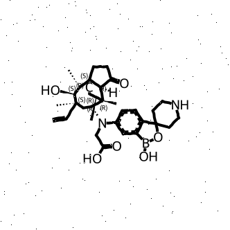 C=C[C@]1(C)C[C@@H](N(CC(=O)O)c2ccc3c(c2)B(O)OC32CCNCC2)[C@]2(C)[C@H](C)CC[C@]3(CCC(=O)[C@H]32)[C@@H](C)[C@@H]1O